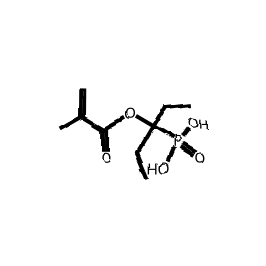 C=C(C)C(=O)OC(CC)(CC)P(=O)(O)O